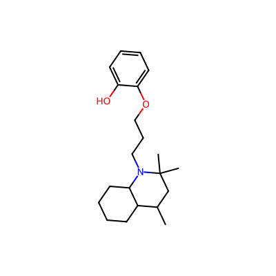 CC1CC(C)(C)N(CCCOc2ccccc2O)C2CCCCC12